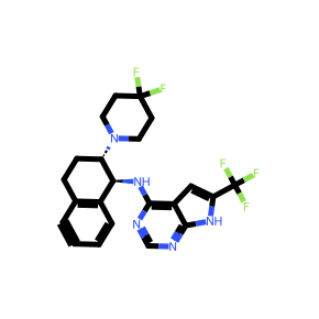 FC1(F)CCN([C@H]2CCc3c#cccc3[C@@H]2Nc2ncnc3[nH]c(C(F)(F)F)cc23)CC1